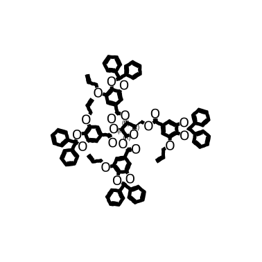 C=CCOc1cc(C(=O)OC[C@H]2O[C@H](OC(=O)c3cc(OCC=C)c4c(c3)OC(c3ccccc3)(c3ccccc3)O4)[C@H](OC(=O)c3cc(OCC=C)c4c(c3)OC(c3ccccc3)(c3ccccc3)O4)[C@@H]2OC(=O)c2cc(OCC=C)c3c(c2)OC(c2ccccc2)(c2ccccc2)O3)cc2c1OC(c1ccccc1)(c1ccccc1)O2